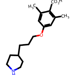 Cc1cc(OCCCC2CCNCC2)cc(C)c1C(=O)O